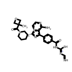 CC1(C(=O)N2CCC[C@@H](c3nc(-c4ccc(C(=O)N/C(S)=N/C=N)cc4)c4c(N)nccn34)C2)COC1